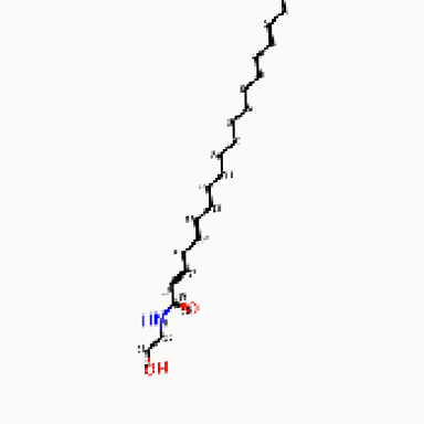 CCCCCCCCCCCCCCCCC/C=C/C(=O)NCCO